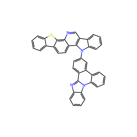 c1ccc2c(c1)nc1c3ccc(-n4c5ccccc5c5cnc6c(ccc7c8ccccc8sc76)c54)cc3c3ccccc3n21